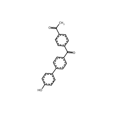 CC(=O)c1ccc(C(=O)c2ccc(-c3ccc(O)cc3)cc2)cc1